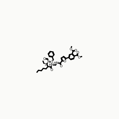 CCCCCC(C(=O)NCNC(=O)c1ccc(-c2ccc(C(=O)OC)c(C(=O)OC)c2)o1)[C@@H](CC)N(C=O)OCc1ccccc1